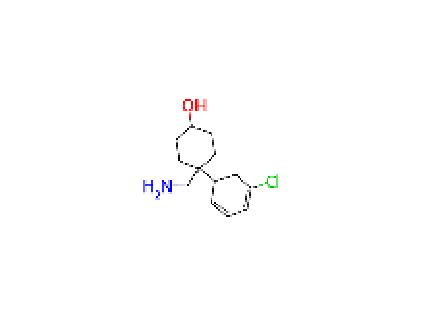 NCC1(C2C=CC=C(Cl)C2)CCC(O)CC1